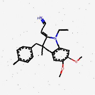 CCN1/C(=C\C=N)C(C)(Cc2ccc(C)cc2)c2cc(OC)c(OC)cc21